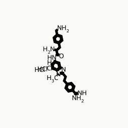 Cl.Cl.Cl.Cn1c(CCc2ccc(C(=N)N)cc2)nc2cc(NC(=O)C(N)Cc3ccc(CN)cc3)ccc21